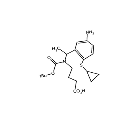 CC(c1cc(N)ccc1SC1CC1)N(CCCC(=O)O)C(=O)OC(C)(C)C